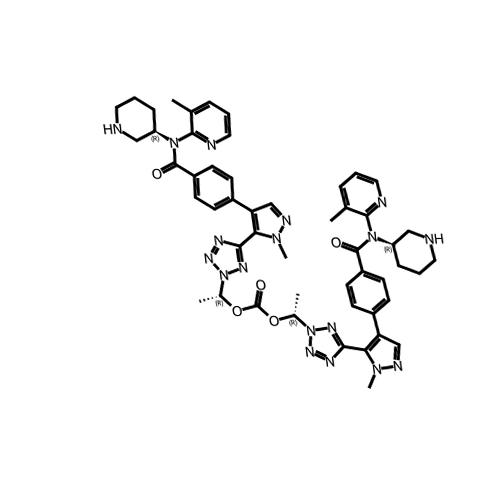 Cc1cccnc1N(C(=O)c1ccc(-c2cnn(C)c2-c2nnn([C@@H](C)OC(=O)O[C@H](C)n3nnc(-c4c(-c5ccc(C(=O)N(c6ncccc6C)[C@@H]6CCCNC6)cc5)cnn4C)n3)n2)cc1)[C@@H]1CCCNC1